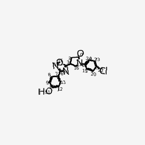 O=C1CC(c2nc(-c3ccc(O)cc3)no2)CN1c1ccc(Cl)cc1